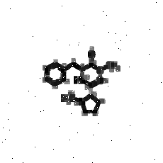 COC(=O)[C@H](Cc1ccccc1)NC(=O)[C@@H]1CCCN1C